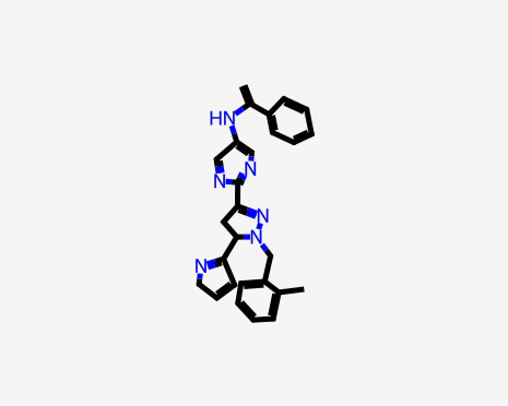 C=C(Nc1cnc(C2=NN(Cc3ccccc3C)C(C3=NCC=C3)C2)nc1)c1ccccc1